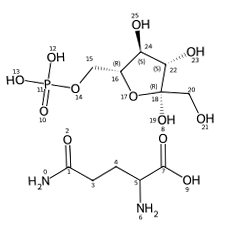 NC(=O)CCC(N)C(=O)O.O=P(O)(O)OC[C@H]1O[C@](O)(CO)[C@@H](O)[C@@H]1O